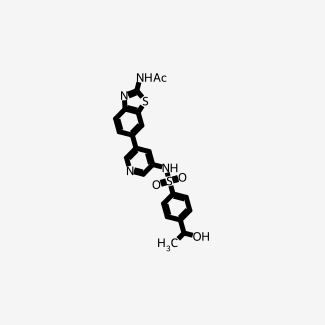 CC(=O)Nc1nc2ccc(-c3cncc(NS(=O)(=O)c4ccc(C(C)O)cc4)c3)cc2s1